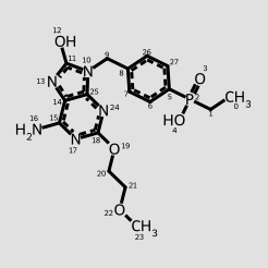 CCP(=O)(O)c1ccc(Cn2c(O)nc3c(N)nc(OCCOC)nc32)cc1